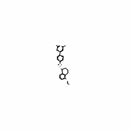 O=C(O)COc1cccc2c1CCCC2NS(=O)(=O)c1ccc(-c2cc(F)nc(F)c2)cc1